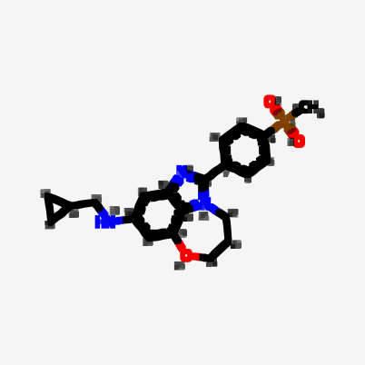 CS(=O)(=O)c1ccc(-c2nc3cc(NCC4CC4)cc4c3n2CCCO4)cc1